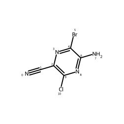 N#Cc1nc(Br)c(N)nc1Cl